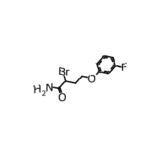 NC(=O)C(Br)CCOc1cccc(F)c1